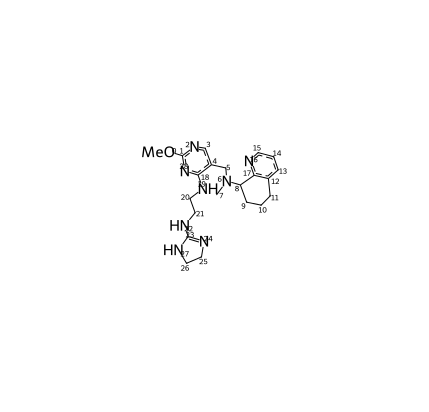 COc1ncc(CN(C)C2CCCc3cccnc32)c(NCCNC2=NCCN2)n1